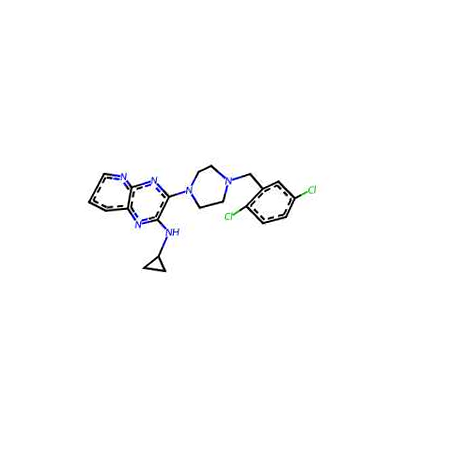 Clc1ccc(Cl)c(CN2CCN(c3nc4ncccc4nc3NC3CC3)CC2)c1